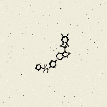 Cc1cc2nc(-c3[nH]nc4c3CCN(c3ccc(NS(=O)(=O)c5cccs5)cn3)C4)[nH]c2cc1C